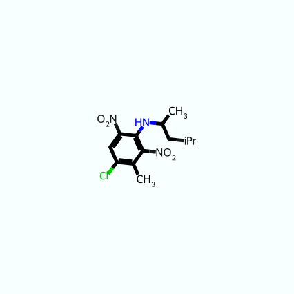 Cc1c(Cl)cc([N+](=O)[O-])c(NC(C)CC(C)C)c1[N+](=O)[O-]